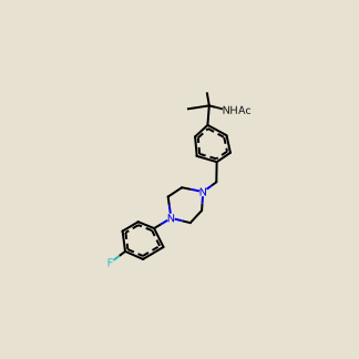 CC(=O)NC(C)(C)c1ccc(CN2CCN(c3ccc(F)cc3)CC2)cc1